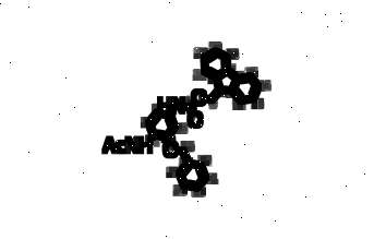 CC(=O)Nc1ccc(NC(=O)OCC2c3ccccc3-c3ccccc32)cc1OCc1ccccc1